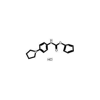 Cl.O=C(Nc1ccc(N2CCCC2)cc1)Oc1ccccc1